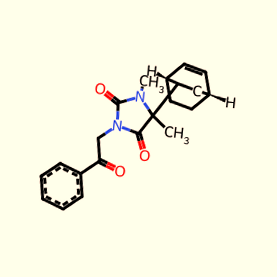 CN1C(=O)N(CC(=O)c2ccccc2)C(=O)C1(C)C1C[C@@H]2C=C[C@H]1CC2